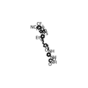 CCc1cc(N(C=S)C2(C(=O)N(C)c3cnc(C#N)c(C(F)(F)F)c3)CCC2)ccc1OCCC1CCN(CC(=O)Nc2cccc(NC3CCC(=O)NC3=O)c2)CC1